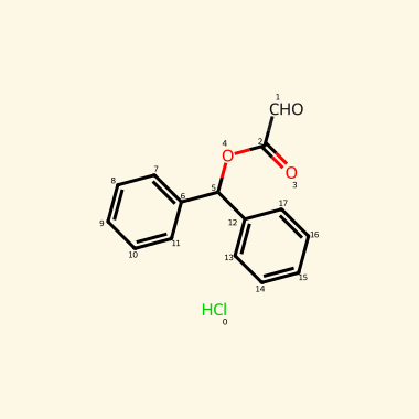 Cl.O=CC(=O)OC(c1ccccc1)c1ccccc1